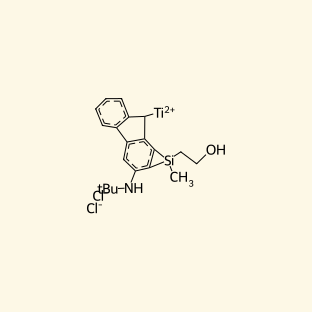 CC(C)(C)Nc1cc2c(c3c1[Si]3(C)CCO)[CH]([Ti+2])c1ccccc1-2.[Cl-].[Cl-]